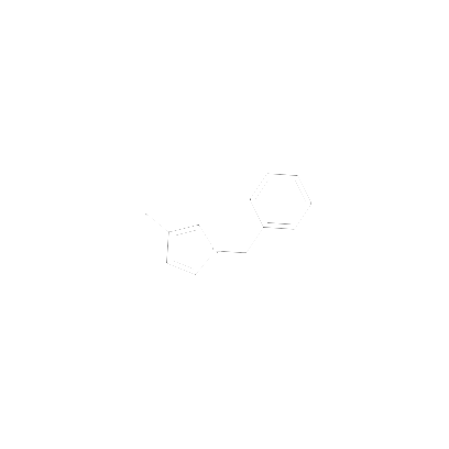 Clc1ccn(Cc2ccccc2)c1